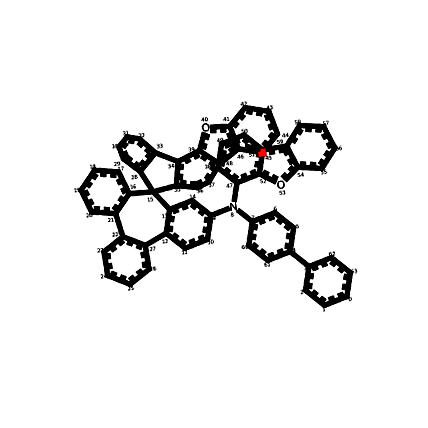 c1ccc(-c2ccc(N(c3ccc4c(c3)C3(c5ccccc5-c5ccccc5-4)c4ccccc4-c4c3ccc3c4oc4ccccc43)c3cccc4c3oc3ccccc34)cc2)cc1